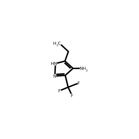 CCc1[nH]nc(C(F)(F)F)c1N